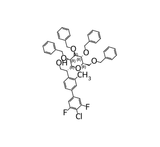 Cc1cc(-c2cc(F)c(Cl)c(F)c2)ccc1C(CO)[C@H]1O[C@H](COCc2ccccc2)[C@@H](OCc2ccccc2)[C@H](OCc2ccccc2)[C@@H]1OCc1ccccc1